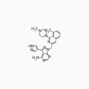 Cc1cccc2cc(Cn3nc(-c4cn[nH]c4)c4c(N)ncnc43)nc(N3CCN(C)CC3)c12